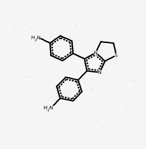 Nc1ccc(-c2nc3n(c2-c2ccc(N)cc2)CCS3)cc1